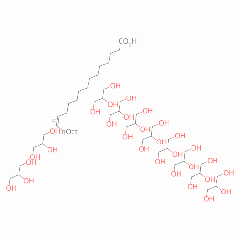 CCCCCCCC/C=C\CCCCCCCCCCCC(=O)O.OCC(O)CO.OCC(O)CO.OCC(O)CO.OCC(O)CO.OCC(O)CO.OCC(O)CO.OCC(O)CO.OCC(O)CO.OCC(O)CO.OCC(O)CO